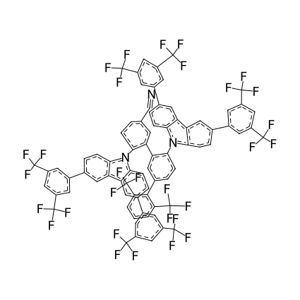 N#Cc1ccc(-n2c3ccc(-c4cc(C(F)(F)F)cc(C(F)(F)F)c4)cc3c3cc(-c4cc(C(F)(F)F)cc(C(F)(F)F)c4)ccc32)c(-c2cc(-c3c(C(F)(F)F)cccc3C(F)(F)F)ccc2-n2c3ccc(-c4cc(C(F)(F)F)cc(C(F)(F)F)c4)cc3c3cc(-c4cc(C(F)(F)F)cc(C(F)(F)F)c4)ccc32)c1